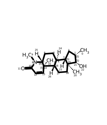 C[C@H]1C[C@H]2[C@@H]3CC[C@H]4N(C)C(=O)C=C[C@]4(C)[C@H]3CC[C@]2(C)[C@H]1O